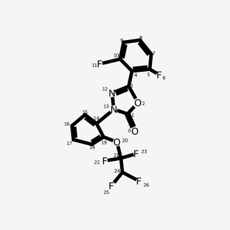 O=c1oc(-c2c(F)cccc2F)nn1-c1ccccc1OC(F)(F)C(F)F